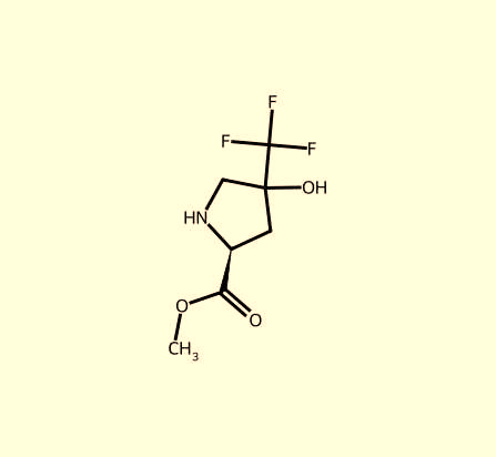 COC(=O)[C@@H]1CC(O)(C(F)(F)F)CN1